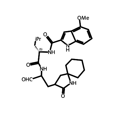 COc1cccc2[nH]c(C(=O)N[C@@H](CC(C)C)C(=O)NC(C=O)CC3CC4(CCCCC4)NC3=O)cc12